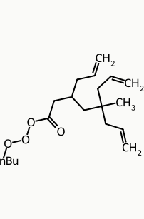 C=CCC(CC(=O)OOOCCCC)CC(C)(CC=C)CC=C